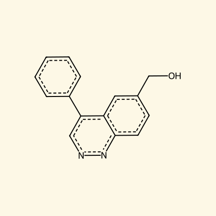 OCc1ccc2nncc(-c3ccccc3)c2c1